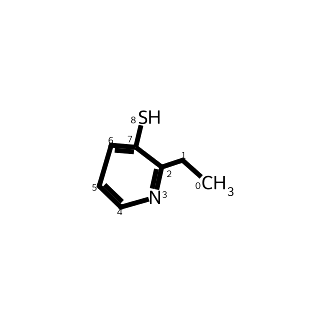 CCc1ncccc1S